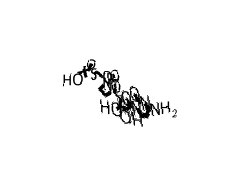 CC(C)(CO)C(=O)SCCOP(=O)(OC[C@H]1O[C@@H](n2ccc(N)nc2=O)[C@@](C)(O)C1O)N1CCCC1